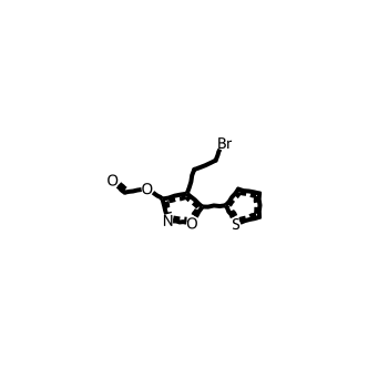 O=COc1noc(-c2cccs2)c1CCBr